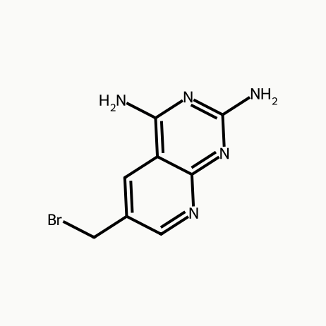 Nc1nc(N)c2cc(CBr)cnc2n1